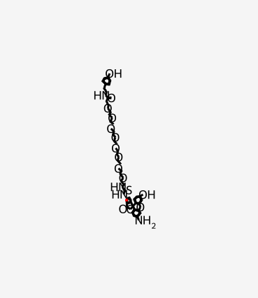 Nc1ccc2c(c1)Oc1cc(O)ccc1C21OC(=O)c2cc(NC(=S)NCCOCCOCCOCCOCCOCCOCCOCCOCCC(=O)NCCc3ccc(O)cc3)ccc21